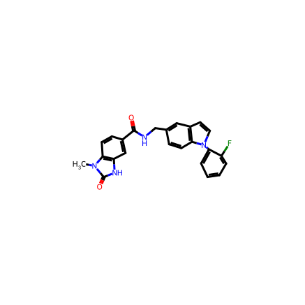 Cn1c(=O)[nH]c2cc(C(=O)NCc3ccc4c(ccn4-c4ccccc4F)c3)ccc21